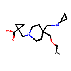 CCOCC1(CNC2CC2)CCN(CC2(C(=O)O)CC2)CC1